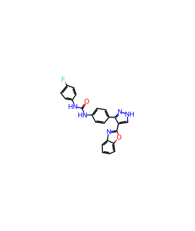 O=C(Nc1ccc(F)cc1)Nc1ccc(-c2n[nH]cc2-c2nc3ccccc3o2)cc1